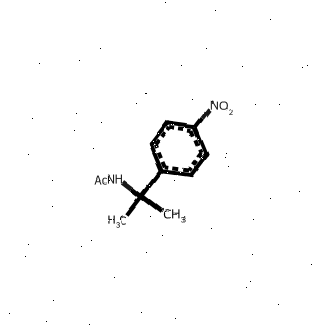 CC(=O)NC(C)(C)c1ccc([N+](=O)[O-])cc1